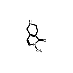 Cn1ccc2c(c1=O)CCNC2